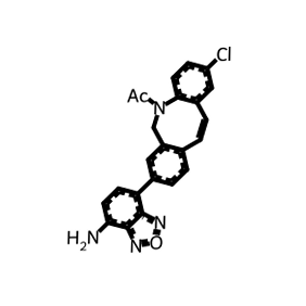 CC(=O)N1Cc2cc(-c3ccc(N)c4nonc34)ccc2/C=C\c2cc(Cl)ccc21